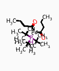 CCC[C](=O)[Pd]([C](=O)CCC)[PH](C(C)(C)C)(C(C)(C)C)C(C)(C)C